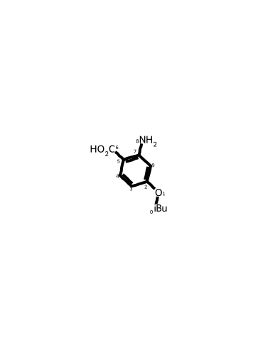 CCC(C)Oc1ccc(C(=O)O)c(N)c1